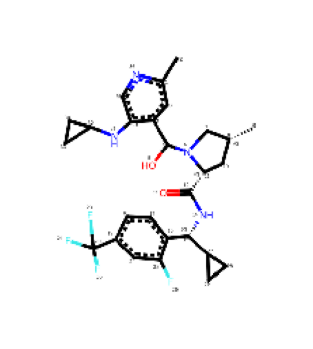 Cc1cc(C(O)N2C[C@H](C)C[C@@H]2C(=O)N[C@@H](c2ccc(C(F)(F)F)cc2F)C2CC2)c(NC2CC2)cn1